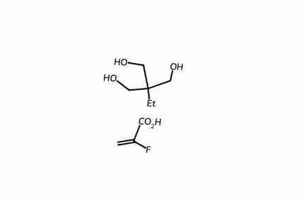 C=C(F)C(=O)O.CCC(CO)(CO)CO